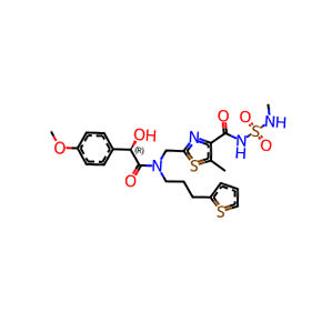 CNS(=O)(=O)NC(=O)c1nc(CN(CCCc2cccs2)C(=O)[C@H](O)c2ccc(OC)cc2)sc1C